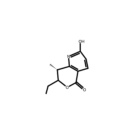 CCC1OC(=O)c2ccc(O)nc2[C@H]1C